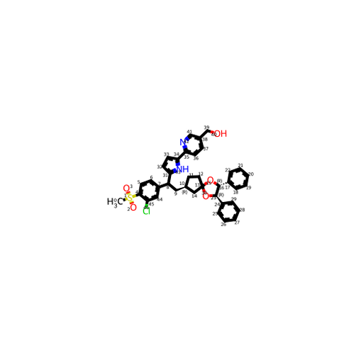 CS(=O)(=O)c1ccc(C(C[C@H]2CCC3(C2)O[C@H](c2ccccc2)[C@@H](c2ccccc2)O3)c2ccc(-c3ccc(CO)cn3)[nH]2)cc1Cl